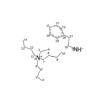 CCCC[N+](CC)(CCCC)CCCC.[NH-]CCc1ccccc1